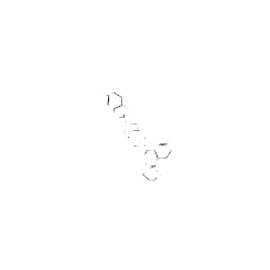 Cc1ccc(-c2ncccn2)c(C(=O)N2CC3CC(C2)CN(c2nc4ccc(F)cc4s2)C3)c1